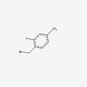 FC(F)(F)c1ccc(CBr)c(I)c1